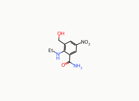 CCNc1c(CO)cc([N+](=O)[O-])cc1C(N)=O